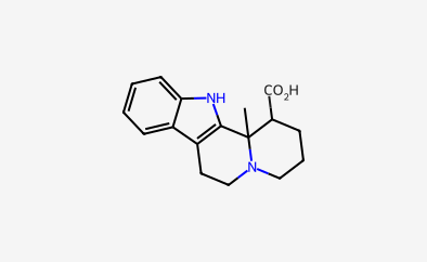 CC12c3[nH]c4ccccc4c3CCN1CCCC2C(=O)O